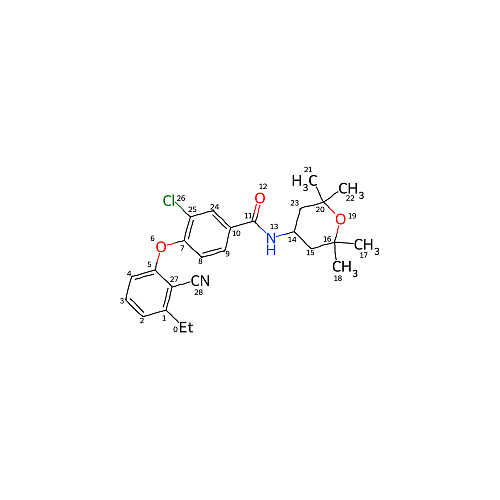 CCc1cccc(Oc2ccc(C(=O)NC3CC(C)(C)OC(C)(C)C3)cc2Cl)c1C#N